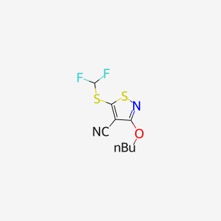 CCCCOc1nsc(SC(F)F)c1C#N